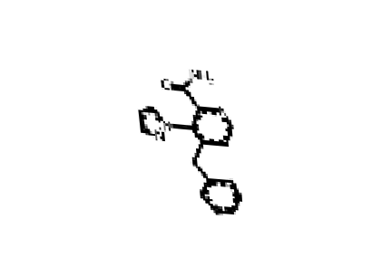 NC(=O)c1nccc(Cc2ccccc2)c1-n1cccn1